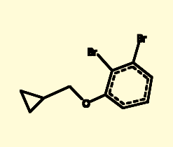 Brc1cccc(OCC2CC2)c1Br